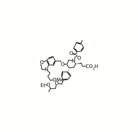 CCOC(C)COCc1ccc([C@H]2C[C@H](CCC(=O)O)N(S(=O)(=O)c3ccc(C)cc3)C[C@@H]2OCc2ccc3c(c2)N(CCCOC)CCO3)cc1